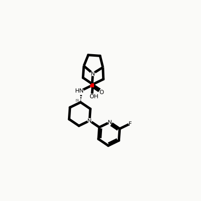 O=C(N[C@H]1CCCN(c2cccc(F)n2)C1)N1C2CCC1CC(O)C2